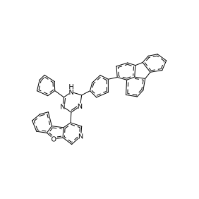 c1ccc(C2=NC(c3cncc4oc5ccccc5c34)=NC(c3ccc(-c4ccc5c6c(cccc46)-c4ccccc4-5)cc3)N2)cc1